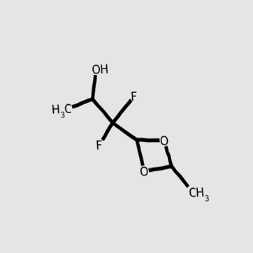 CC1OC(C(F)(F)C(C)O)O1